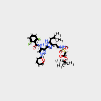 CC(C)Cc1[nH]c(-c2nn(C3CCCCO3)cc2NC(=O)c2c(F)cccc2F)nc1CCNS(=O)(=O)CC(=O)OC(C)(C)C